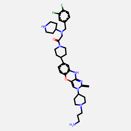 C=C1N=C2Nc3cc(C4CCN(C(=O)CN(Cc5ccc(F)c(F)c5)C5CCNCC5)CC4)ccc3OC2=CN1C1CCN(CCCN)CC1